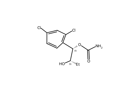 CC[C@H](O)[C@@H](OC(N)=O)c1ccc(Cl)cc1Cl